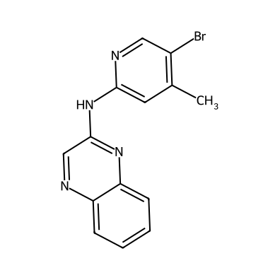 Cc1cc(Nc2cnc3ccccc3n2)ncc1Br